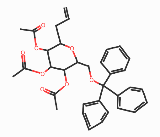 C=CCC1OC(COC(c2ccccc2)(c2ccccc2)c2ccccc2)C(OC(C)=O)C(OC(C)=O)C1OC(C)=O